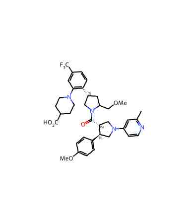 COCC1C[C@@H](c2ccc(C(F)(F)F)cc2N2CCC(C(=O)O)CC2)CN1C(=O)[C@@H]1CN(c2ccnc(C)c2)C[C@H]1c1ccc(OC)cc1